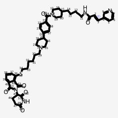 O=C(/C=C/c1cccnc1)NCCCCC1CCN(C(=O)c2ccc(C3CCN(CCCCCCSc4cccc5c4C(=O)N(C4CCC(=O)NC4=O)C5=O)CC3)cc2)CC1